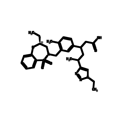 CC[C@@H]1CN(Cc2cc(C(CC(=O)O)CC(C)c3cn(CC)nn3)ccc2C)S(=O)(=O)c2ccccc2O1